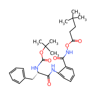 CC(C)(C)CCC(=O)ONC(=O)c1ccccc1NC(=O)[C@H](Cc1ccccc1)NC(=O)OC(C)(C)C